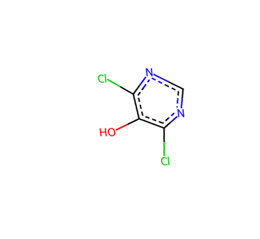 Oc1c(Cl)ncnc1Cl